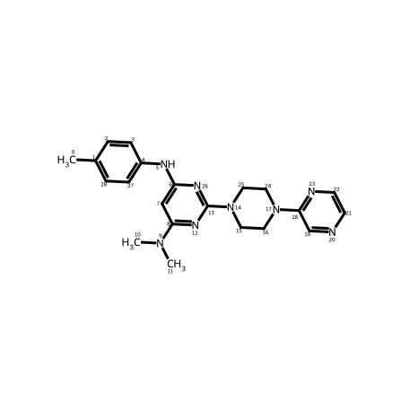 Cc1ccc(Nc2cc(N(C)C)nc(N3CCN(c4cnccn4)CC3)n2)cc1